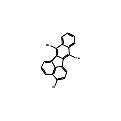 CC(C)(C)c1c2c(c(C(C)(C)C)c3ccccc13)-c1ccc(Br)c3cccc-2c13